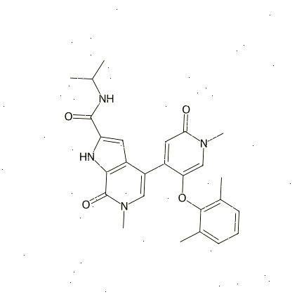 Cc1cccc(C)c1Oc1cn(C)c(=O)cc1-c1cn(C)c(=O)c2[nH]c(C(=O)NC(C)C)cc12